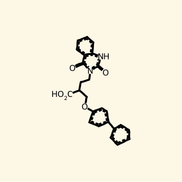 O=C(O)C(CCn1c(=O)[nH]c2ccccc2c1=O)COc1ccc(-c2ccccc2)cc1